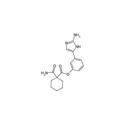 NC(=O)C1(C(=O)Oc2cccc(-c3cnc(N)[nH]3)c2)CCCCC1